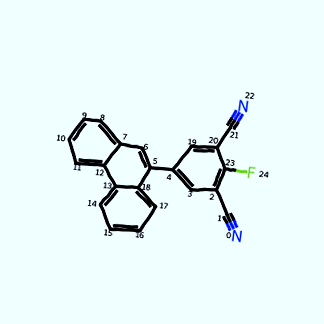 N#Cc1cc(-c2cc3ccccc3c3ccccc23)cc(C#N)c1F